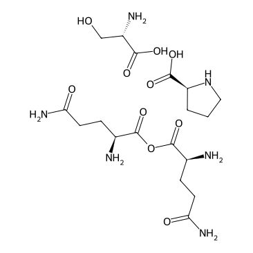 NC(=O)CC[C@H](N)C(=O)OC(=O)[C@@H](N)CCC(N)=O.N[C@@H](CO)C(=O)O.O=C(O)[C@@H]1CCCN1